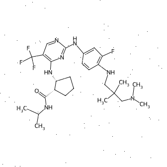 CC(C)NC(=O)[C@H]1CCC[C@H]1Nc1nc(Nc2ccc(NCC(C)(C)CN(C)C)c(F)c2)ncc1C(F)(F)F